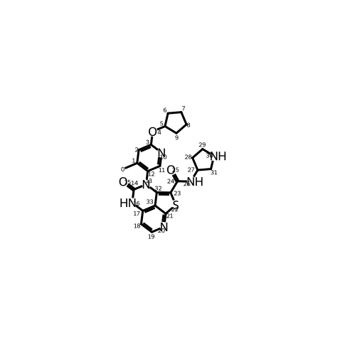 Cc1cc(OC2CCCC2)ncc1N1C(=O)Nc2ccnc3sc(C(=O)NC4CCNC4)c1c23